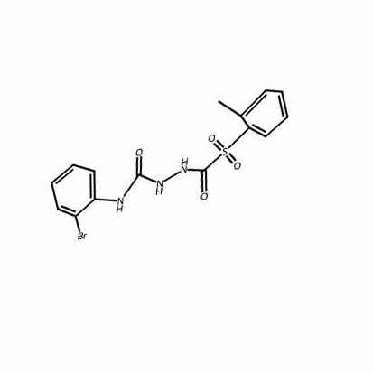 Cc1ccccc1S(=O)(=O)C(=O)NNC(=O)Nc1ccccc1Br